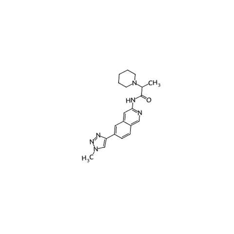 CC(C(=O)Nc1cc2cc(-c3cn(C)nn3)ccc2cn1)N1CCCCC1